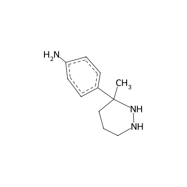 CC1(c2ccc(N)cc2)CCCNN1